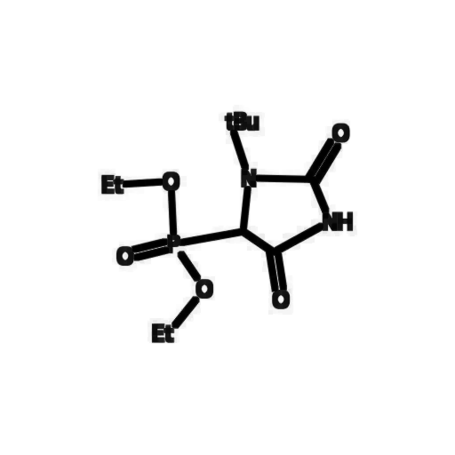 CCOP(=O)(OCC)C1C(=O)NC(=O)N1C(C)(C)C